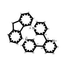 c1ccc2c(c1)Cc1ccccc1-2.c1cncc(-c2cccnc2-c2cccnc2)c1